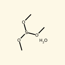 CO[Si](OC)OC.O